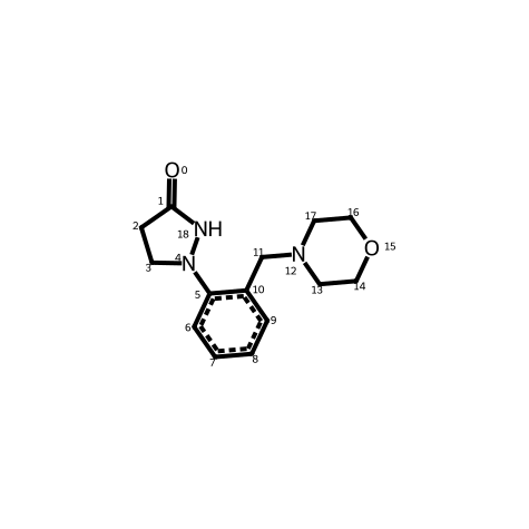 O=C1CCN(c2ccccc2CN2CCOCC2)N1